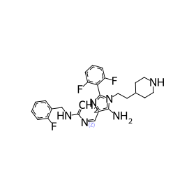 C=C(/N=C\c1nc(-c2c(F)cccc2F)n(CCC2CCNCC2)c1N)NCc1ccccc1F